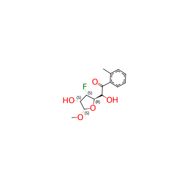 CO[C@H]1O[C@H](C(O)C(=O)c2ccccc2C)[C@@H](F)[C@H]1O